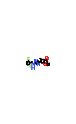 Cc1cc2c(cc1-c1cnc(NCc3c(F)cccc3F)cn1)OC1(CCC1)CC2=O